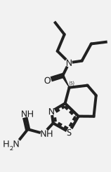 CCCN(CCC)C(=O)[C@H]1CCCc2sc(NC(=N)N)nc21